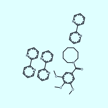 COc1cc(C(=O)N2CCCCCCC2)cc(OC)c1OC.c1ccc(-c2ccccn2)nc1.c1ccc(-c2ccccn2)nc1.c1ccc(-c2ccccn2)nc1